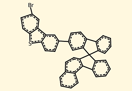 Brc1ccc2sc3ccc(-c4ccc5c(c4)C4(c6ccccc6-5)c5ccccc5-c5c4ccc4ccccc54)cc3c2c1